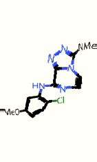 CNc1nnc2c(Nc3cc(OC)ccc3Cl)nccn12